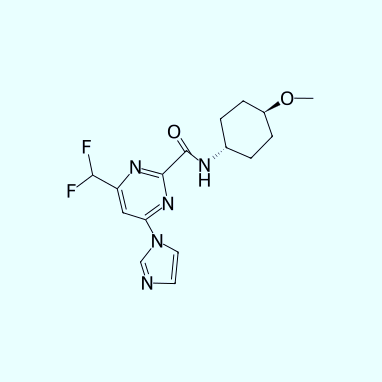 CO[C@H]1CC[C@H](NC(=O)c2nc(C(F)F)cc(-n3ccnc3)n2)CC1